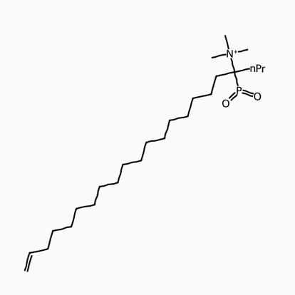 C=CCCCCCCCCCCCCCCCCC(CCC)(P(=O)=O)[N+](C)(C)C